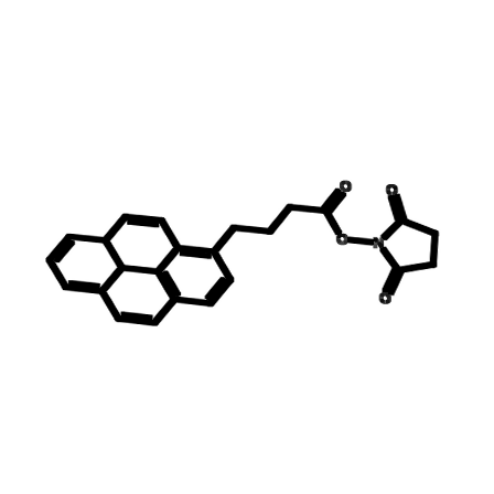 O=C(CCCc1ccc2c3c1C=CC1C=CC=C(C=C2)C31)ON1C(=O)CCC1=O